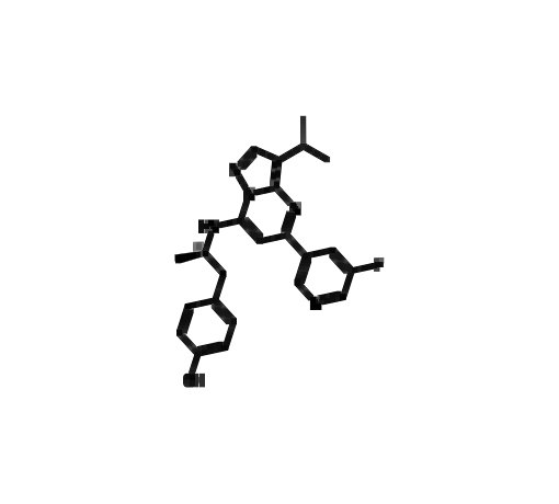 CC(C)c1cnn2c(N[C@H](C)Cc3ccc(O)cc3)cc(-c3cncc(F)c3)nc12